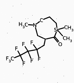 CN1CCC[Si](C)(C)C(=O)C(CC(F)(F)C(F)(F)C(F)(F)C(F)(F)F)C1